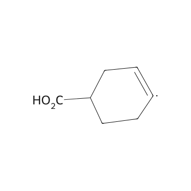 O=C(O)C1CC=[C]CC1